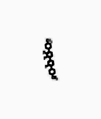 CC1CCC(c2ccc(-c3ccc(C4CCC(C)CC4)c(F)c3F)cc2F)CC1